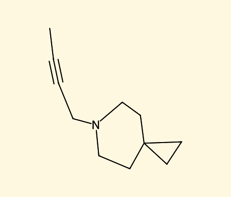 CC#CCN1CCC2(CC1)CC2